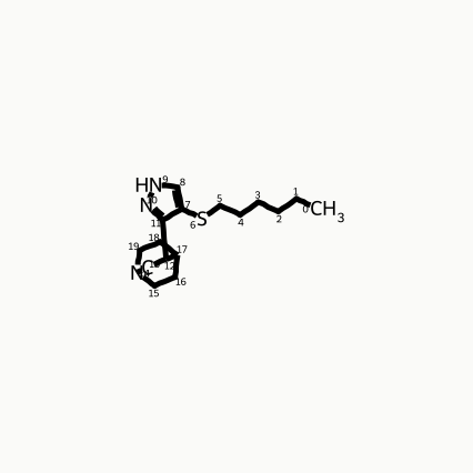 CCCCCCSc1c[nH]nc1C1CN2CCC1CC2